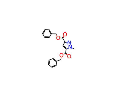 Cn1nc(C(=O)OCc2ccccc2)cc1C(=O)OCc1ccccc1